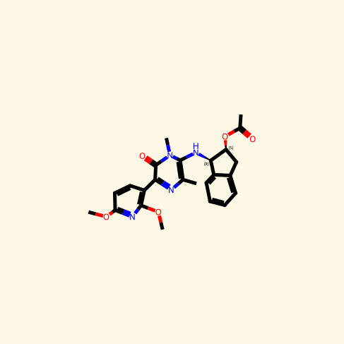 COc1ccc(-c2nc(C)c(N[C@@H]3c4ccccc4C[C@@H]3OC(C)=O)n(C)c2=O)c(OC)n1